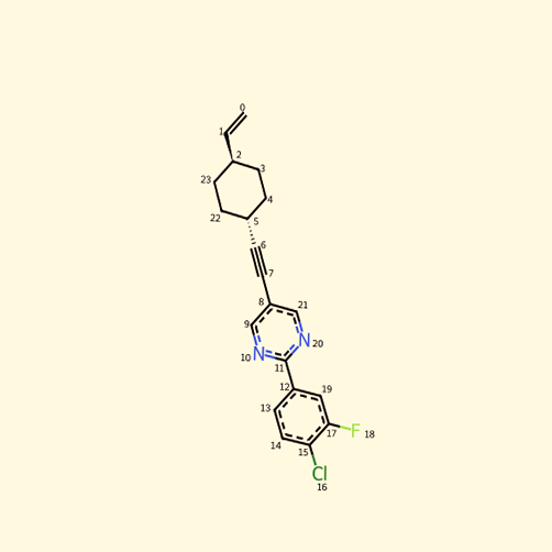 C=C[C@H]1CC[C@H](C#Cc2cnc(-c3ccc(Cl)c(F)c3)nc2)CC1